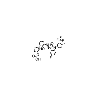 Cc1ccc(N2C(=O)C(=NNc3cccc(-c4cccc(OC(=O)O)c4)c3O)c3cc(F)ccc32)cc1C(F)(F)F